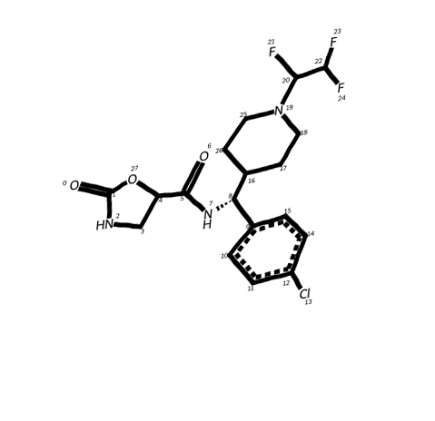 O=C1NCC(C(=O)N[C@@H](c2ccc(Cl)cc2)C2CCN(C(F)C(F)F)CC2)O1